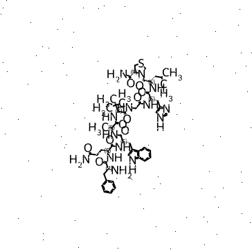 CC(C)C[C@H](NC(=O)[C@H](Cc1c[nH]cn1)NC(=O)CNC(=O)[C@@H](NC(=O)[C@H](C)NC(=O)[C@H](Cc1c[nH]c2ccccc12)NC(=O)[C@H](CCC(N)=O)NC(=O)[C@H](N)Cc1ccccc1)C(C)(C)C)C(=O)N1CSC[C@H]1C(N)=O